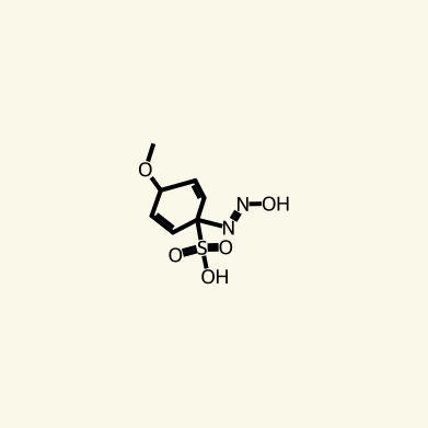 COC1C=CC(/N=N/O)(S(=O)(=O)O)C=C1